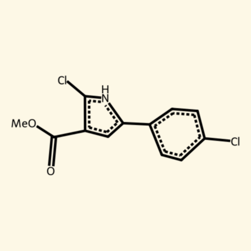 COC(=O)c1cc(-c2ccc(Cl)cc2)[nH]c1Cl